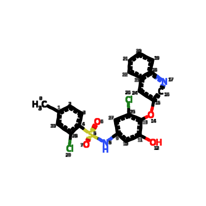 Cc1ccc(S(=O)(=O)Nc2cc(O)c(Oc3cnc4ccccc4c3)c(Cl)c2)c(Cl)c1